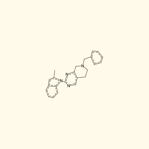 Cc1cc2ccccc2n1-c1ncc2c(n1)CN(Cc1ccccc1)CC2